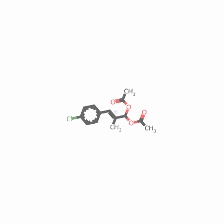 CC(=O)OC(OC(C)=O)/C(C)=C/c1ccc(Cl)cc1